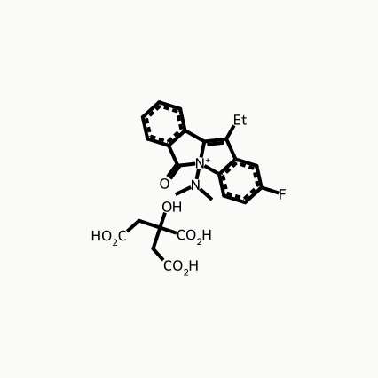 CCC1=C2c3ccccc3C(=O)[N+]2(N(C)C)c2ccc(F)cc21.O=C(O)CC(O)(CC(=O)O)C(=O)O